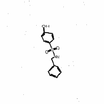 O=S(=O)(NCc1ccccc1)c1ccc(O)cc1